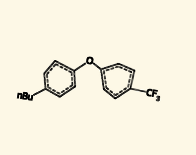 [CH2]CCCc1ccc(Oc2ccc(C(F)(F)F)cc2)cc1